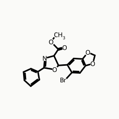 COC(=O)C1N=C(c2ccccc2)OC1c1cc2c(cc1Br)OCO2